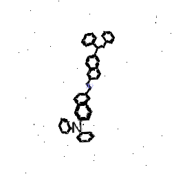 C(=C\c1ccc2cc(N(c3ccccc3)c3ccccc3)ccc2c1)/c1ccc2cc(C(Cc3ccccc3)c3ccccc3)ccc2c1